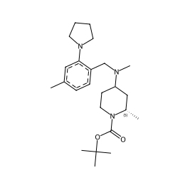 Cc1ccc(CN(C)C2CCN(C(=O)OC(C)(C)C)[C@@H](C)C2)c(N2CCCC2)c1